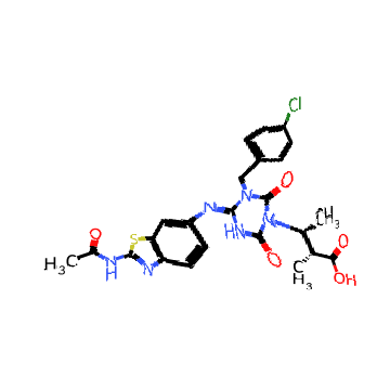 CC(=O)Nc1nc2ccc(/N=c3\[nH]c(=O)n([C@@H](C)[C@@H](C)C(=O)O)c(=O)n3Cc3ccc(Cl)cc3)cc2s1